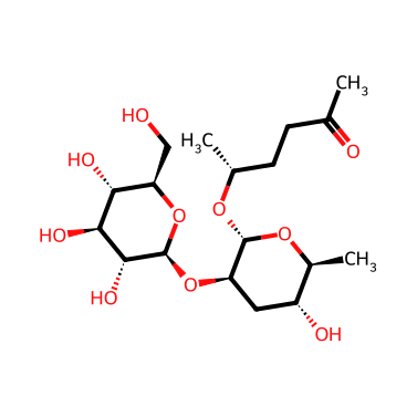 CC(=O)CC[C@@H](C)O[C@@H]1O[C@@H](C)[C@H](O)C[C@H]1O[C@@H]1O[C@H](CO)[C@@H](O)[C@H](O)[C@H]1O